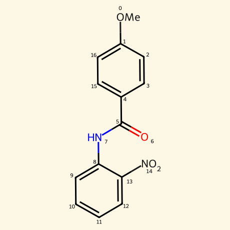 COc1ccc(C(=O)Nc2ccccc2[N+](=O)[O-])cc1